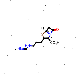 N=CNCCCC1=C(C(=O)O)N2C(=O)C[C@@H]2S1